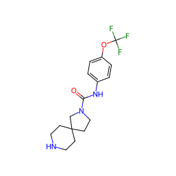 O=C(Nc1ccc(OC(F)(F)F)cc1)N1CCC2(CCNCC2)C1